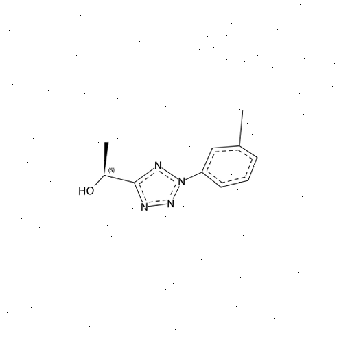 Cc1cccc(-n2nnc([C@H](C)O)n2)c1